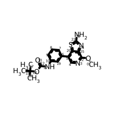 COc1ncc(-c2cccc(NC(=O)OC(C)(C)C)c2)c2sc(N)nc12